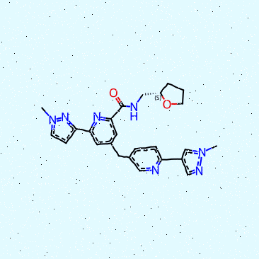 Cn1cc(-c2ccc(Cc3cc(C(=O)NC[C@@H]4CCCO4)nc(-c4ccn(C)n4)c3)cn2)cn1